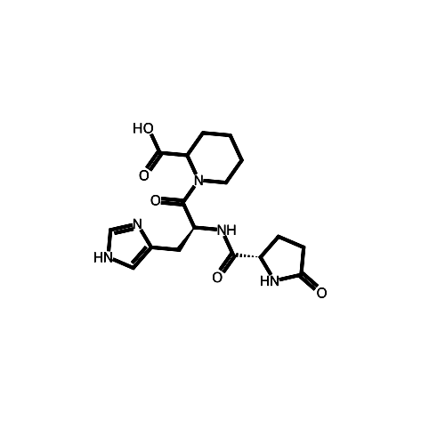 O=C1CC[C@@H](C(=O)N[C@@H](Cc2c[nH]cn2)C(=O)N2CCCCC2C(=O)O)N1